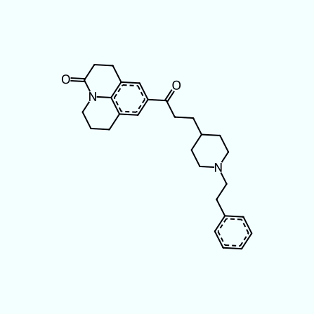 O=C(CCC1CCN(CCc2ccccc2)CC1)c1cc2c3c(c1)CCC(=O)N3CCC2